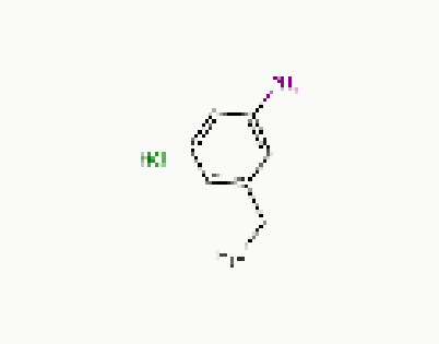 CCc1cccc(P)c1.Cl